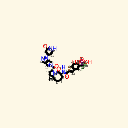 O=C(N[C@H]1CCCC[C@H]2CC[C@@H](C(=O)N3Cc4cnn(-c5cc[nH]c(=O)c5)c4C3)N2C1=O)c1cc2cc(C(F)(F)P(=O)(O)O)ccc2s1